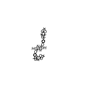 CC(ON1C(C)(C)CC2(CC1(C)C)OCC(C)(C)CO2)c1ccc(OCC(O)C(C(C(O)COc2ccc(C(C)ON3C(C)(C)CC4(CC3(C)C)OCC(C)(C)CO4)cc2)N(C)C)N(C)C)cc1